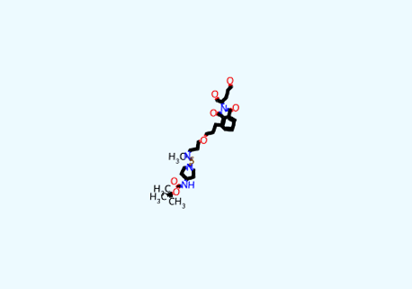 CN(CCCOCCCc1cccc2c1C(=O)N(C(C=O)CCC=O)C2=O)SN1CCC(NC(=O)OC(C)(C)C)CC1